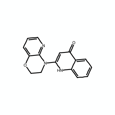 O=c1cc(N2CCOc3cccnc32)[nH]c2ccccc12